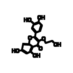 O=c1c(OCCO)c(-c2ccc(O)c(O)c2)oc2cc(O)cc(O)c12